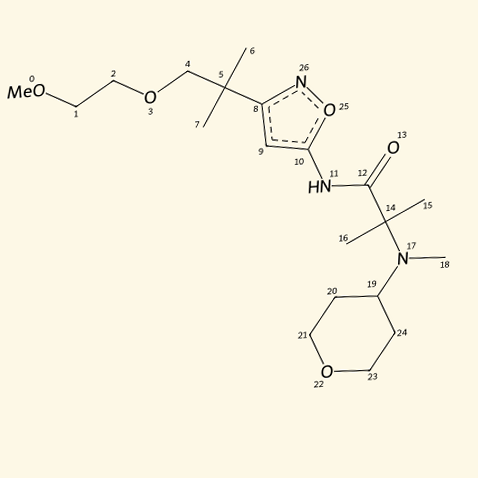 COCCOCC(C)(C)c1cc(NC(=O)C(C)(C)N(C)C2CCOCC2)on1